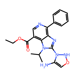 CCOC(=O)c1cnc(-c2ccccc2)c2nc(N3NOC=C3N)n(C(C)C)c12